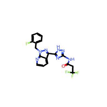 O=C(CC(F)(F)F)Nc1n[nH]c(-c2nn(Cc3ccccc3F)c3ncccc23)n1